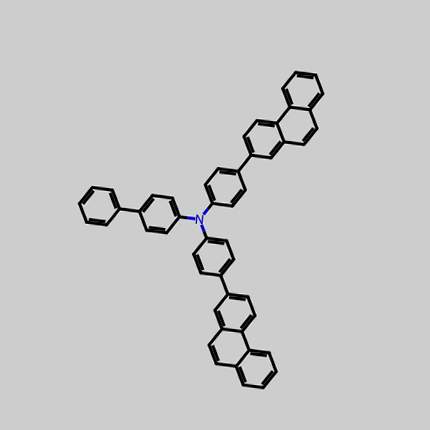 c1ccc(-c2ccc(N(c3ccc(-c4ccc5c(ccc6ccccc65)c4)cc3)c3ccc(-c4ccc5c(ccc6ccccc65)c4)cc3)cc2)cc1